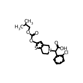 CC(C)COC(=O)Oc1cc2c(s1)CCN(C(C(=O)O)c1ccccc1Cl)C2